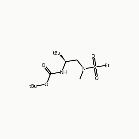 CCS(=O)(=O)N(C)C[C@@H](NC(=O)OC(C)(C)C)C(C)(C)C